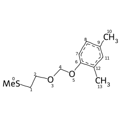 CSCCOCOc1ccc(C)cc1C